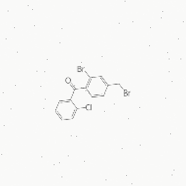 O=C(c1ccccc1Cl)c1ccc(CBr)cc1Br